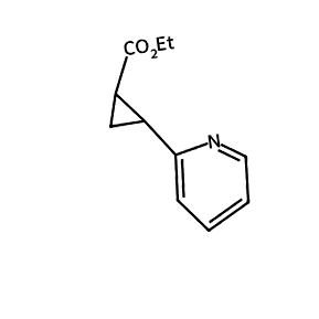 CCOC(=O)C1CC1c1ccccn1